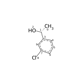 C[C@@H](O)c1cccc(Cl)c1